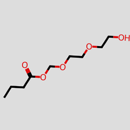 CCCC(=O)OCOCCOCCO